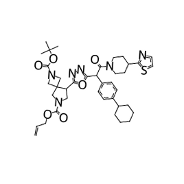 C=CCOC(=O)N1CC(c2nnc(C(C(=O)N3CCC(c4nccs4)CC3)c3ccc(C4CCCCC4)cc3)o2)C2(C1)CN(C(=O)OC(C)(C)C)C2